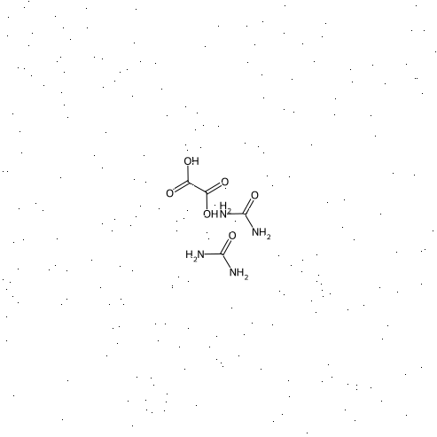 NC(N)=O.NC(N)=O.O=C(O)C(=O)O